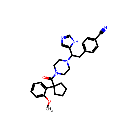 COc1ccccc1C1(C(=O)N2CCN(C(Cc3ccc(C#N)cc3)c3cnc[nH]3)CC2)CCCC1